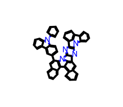 c1ccc(-n2c3ccccc3c3cc(-c4cc5ccccc5c5c6c7ccccc7cc7c8nc9c(nc8n(c45)c76)c4cccc5c6ccccc6n9c54)ccc32)cc1